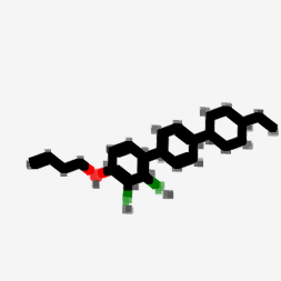 C=CCCOc1ccc(-c2ccc(C3CCC(CC)CC3)cc2)c(F)c1F